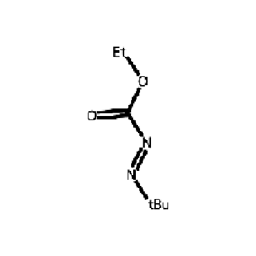 CCOC(=O)N=NC(C)(C)C